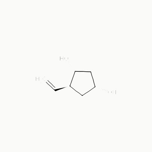 C=C[C@@H]1C[C@@H](O)C[C@H]1O